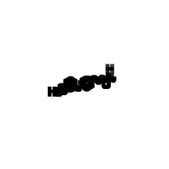 CNC(=O)CCCN1CCN(Cc2cccc(C(C)(C)S)c2)CC1